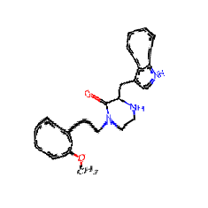 COc1ccccc1CCN1CCNC(Cc2c[nH]c3ccccc23)C1=O